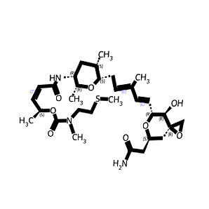 CSCCN(C)C(=O)O[C@@H](C)/C=C\C(=O)N[C@@H]1C[C@H](C)[C@H](C/C=C(C)/C=C/[C@H]2O[C@H](CC(N)=O)C[C@@]3(CO3)[C@@H]2O)O[C@@H]1C